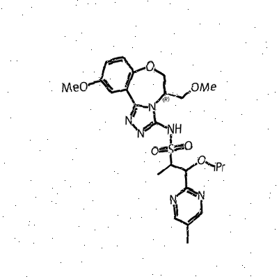 COC[C@@H]1COc2ccc(OC)cc2-c2nnc(NS(=O)(=O)C(C)C(OC(C)C)c3ncc(C)cn3)n21